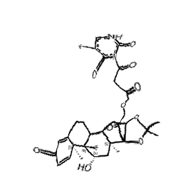 CC1(C)OC2CC3C4CCC5=CC(=O)C=C[C@]5(C)[C@@]4(F)[C@@H](O)C[C@]3(C)C2(C(=O)COC(=O)CC(=O)n2c(=O)[nH]cc(F)c2=O)O1